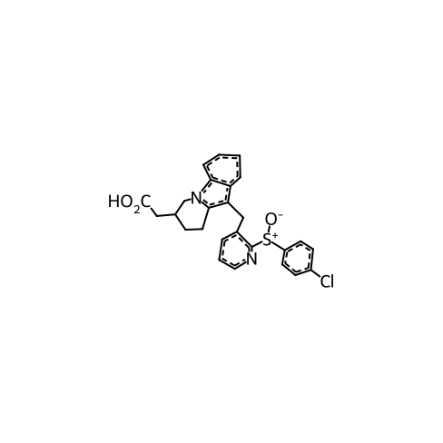 O=C(O)CC1CCc2c(Cc3cccnc3[S+]([O-])c3ccc(Cl)cc3)c3ccccc3n2C1